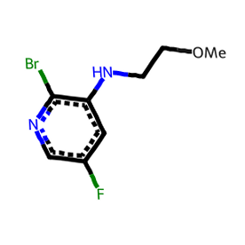 COCCNc1cc(F)cnc1Br